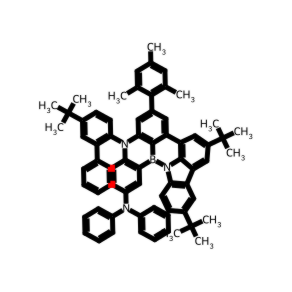 Cc1cc(C)c(-c2cc3c4c(c2)N(c2ccc(C(C)(C)C)cc2-c2ccccc2)c2ccc(N(c5ccccc5)c5ccccc5)cc2B4n2c4ccc(C(C)(C)C)cc4c4cc(C(C)(C)C)cc-3c42)c(C)c1